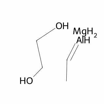 C[CH]=[AlH].OCCO.[MgH2]